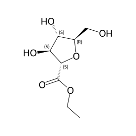 CCOC(=O)[C@H]1O[C@H](CO)[C@@H](O)[C@@H]1O